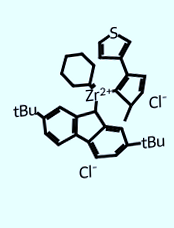 CC1C=CC(c2ccsc2)=[C]1[Zr+2](=[C]1CCCCC1)[CH]1c2cc(C(C)(C)C)ccc2-c2ccc(C(C)(C)C)cc21.[Cl-].[Cl-]